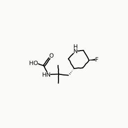 CC(C)(C[C@@H]1CNC[C@@H](F)C1)NC(=O)O